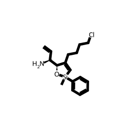 C=C[C@H](N)[C@H]1O[Si](C)(c2ccccc2)C=C1CCCCCl